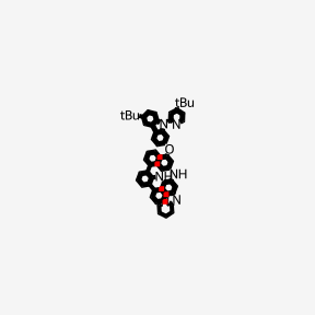 CC(C)(C)c1ccnc(-n2c3ccc(C(C)(C)C)cc3c3ccc(Oc4cccc(Nc5cc6nc7n(c6cc5Nc5c(-c6ccccc6)cccc5-c5ccccc5)CCCC7)c4)cc32)c1